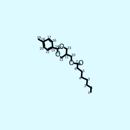 CCCCCCCC(=O)OCC1COC(c2ccc(C)cc2)OC1